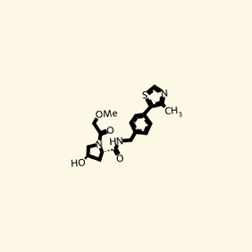 COCC(=O)N1C[C@H](O)C[C@H]1C(=O)NCc1ccc(-c2scnc2C)cc1